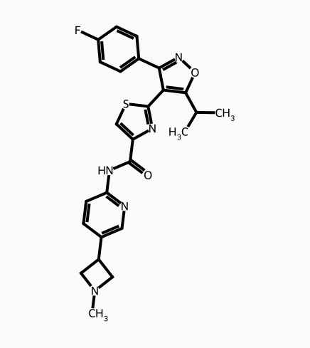 CC(C)c1onc(-c2ccc(F)cc2)c1-c1nc(C(=O)Nc2ccc(C3CN(C)C3)cn2)cs1